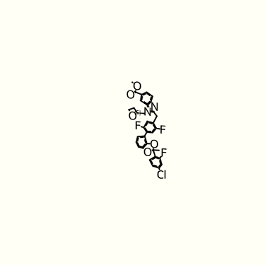 COC(=O)c1ccc2nc(Cc3cc(F)c(-c4cccc5c4OC(C)(c4ccc(Cl)cc4F)O5)cc3F)n(C[C@@H]3CCO3)c2c1